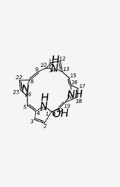 OC12C=C/C(=C/C3=NC(=C\c4ccc([nH]4)/C=c4/cc/c([nH]4)=C/1)/C=C3)N2